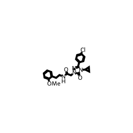 COc1ccccc1CCNC(=O)Cn1nc(-c2ccc(Cl)cc2)n(C2CC2)c1=O